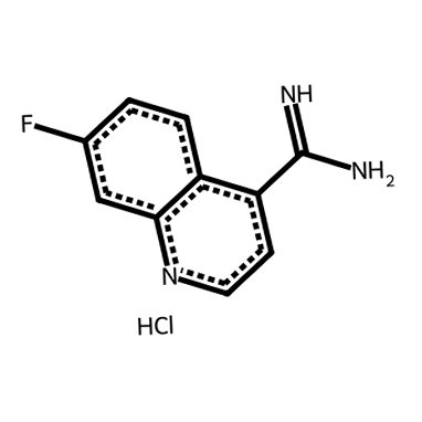 Cl.N=C(N)c1ccnc2cc(F)ccc12